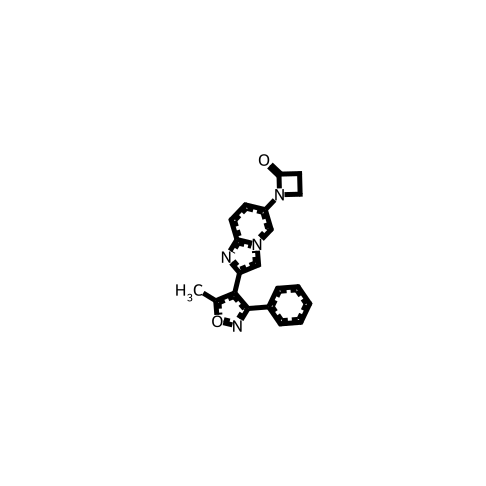 Cc1onc(-c2ccccc2)c1-c1cn2cc(N3CCC3=O)ccc2n1